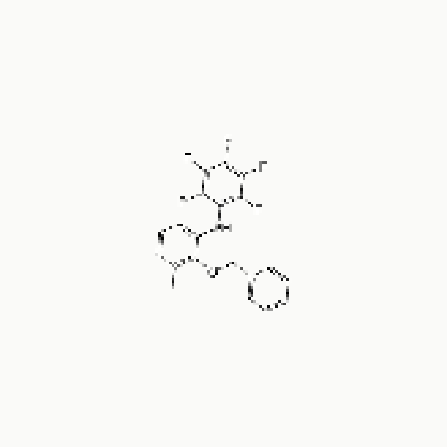 Cc1cccc(Pc2c(F)c(F)c(F)c(F)c2F)c1OCc1ccccc1